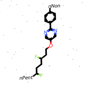 CCCCCCCCCc1ccc(-c2ncc(OCCC(F)CCC(F)CCCCC)cn2)cc1